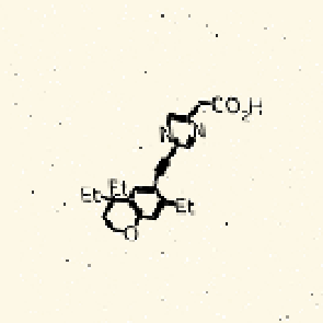 CCc1cc2c(cc1C#Cc1cnc(CC(=O)O)cn1)C(CC)(CC)CCO2